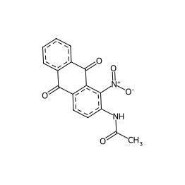 CC(=O)Nc1ccc2c(c1[N+](=O)[O-])C(=O)c1ccccc1C2=O